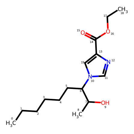 CCCCCCC(C(C)O)n1cnc(C(=O)OCC)c1